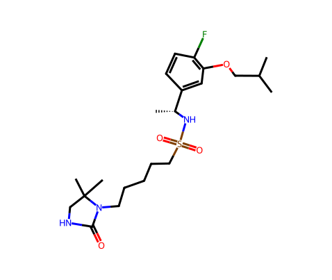 CC(C)COc1cc([C@@H](C)NS(=O)(=O)CCCCCN2C(=O)NCC2(C)C)ccc1F